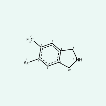 CC(=O)c1cc2c(cc1C(F)(F)F)CNC2